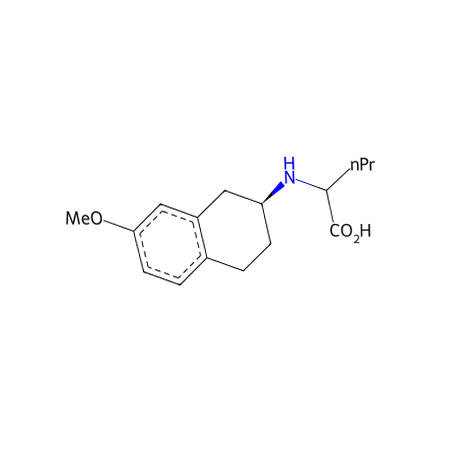 CCCC(N[C@H]1CCc2ccc(OC)cc2C1)C(=O)O